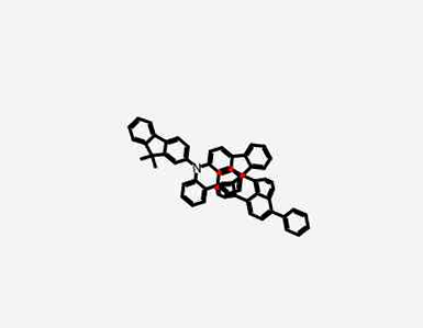 CC1(C)c2ccccc2-c2ccc(N(c3ccc4c(c3)C3(c5ccccc5-4)c4ccccc4-c4ccc(-c5ccccc5)c5cccc3c45)c3ccccc3-c3ccccc3)cc21